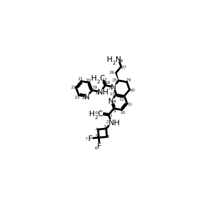 C=C(NC1CC(F)(F)C1)c1ccc2c(n1)N(C(=C)Nc1ccccn1)[C@@H](CCN)CC2